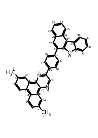 Cc1ccc2c3ccc(C)cc3c3nc(-c4ccc(-c5cc6ccccc6c6c5oc5ccccc56)cc4)cnc3c2c1